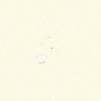 CCCCCCCCCC1(Cn2ccnc2)SCCC(C)S1